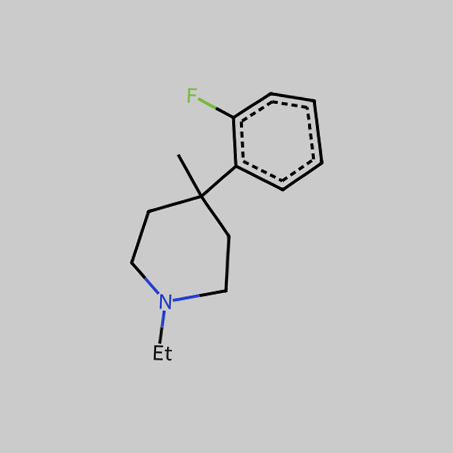 CCN1CCC(C)(c2ccccc2F)CC1